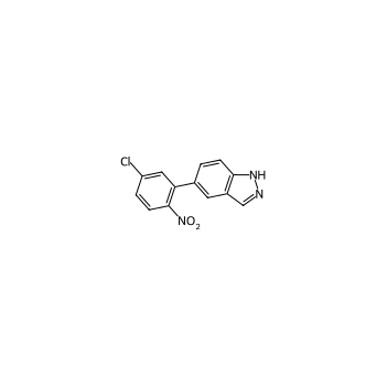 O=[N+]([O-])c1ccc(Cl)cc1-c1ccc2[nH]ncc2c1